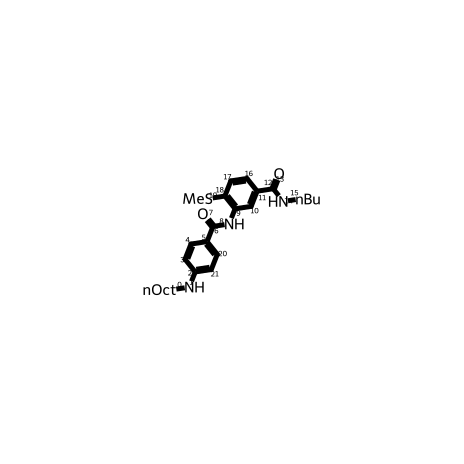 CCCCCCCCNc1ccc(C(=O)Nc2cc(C(=O)NCCCC)ccc2SC)cc1